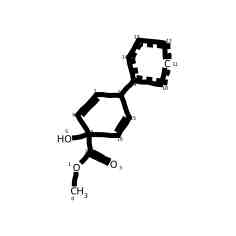 COC(=O)C1(O)C=CC(c2ccccc2)C=C1